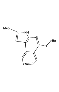 CCCCOc1nc2[nH]c(SC)cc2c2ccccc12